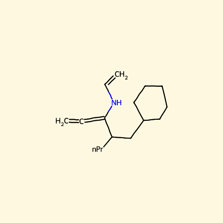 C=C=C(NC=C)C(CCC)CC1CCCCC1